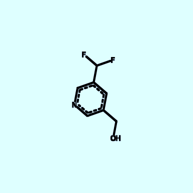 OCc1cncc(C(F)F)c1